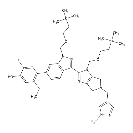 CCc1cc(O)c(F)cc1-c1ccc2c(-c3nc4c(n3COCC[Si](C)(C)C)CN(Cc3cnn(C)c3)C4)nn(COCC[Si](C)(C)C)c2c1